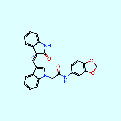 O=C(Cn1cc(/C=C2\C(=O)Nc3ccccc32)c2ccccc21)Nc1ccc2c(c1)OCO2